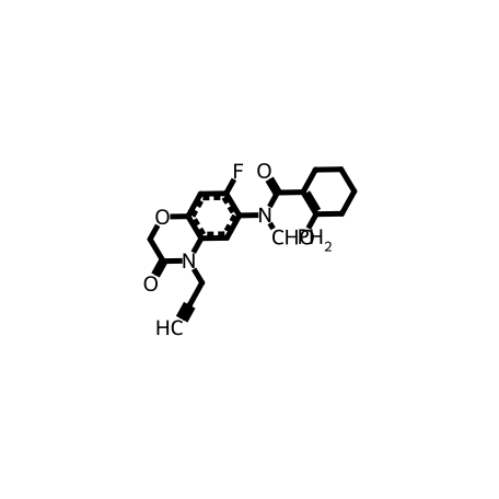 C#CCN1C(=O)COc2cc(F)c(N(C=O)C(=O)C3=C(P)CCCC3)cc21